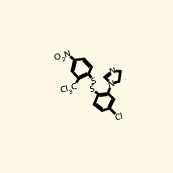 O=[N+]([O-])c1ccc(SSc2ccc(Cl)cc2N2C=NCC2)c(C(Cl)(Cl)Cl)c1